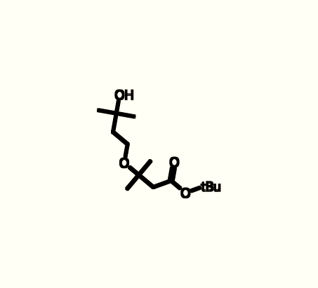 CC(C)(O)CCOC(C)(C)CC(=O)OC(C)(C)C